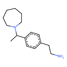 CC(c1ccc(CCN)cc1)N1CCCCCC1